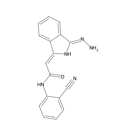 N#Cc1ccccc1NC(=O)C=C1NC(=NN)c2ccccc21